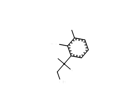 Cc1c(I)cccc1C(F)(F)CO